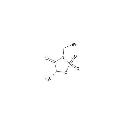 CC(C)CN1C(=O)[C@@H](C)OS1(=O)=O